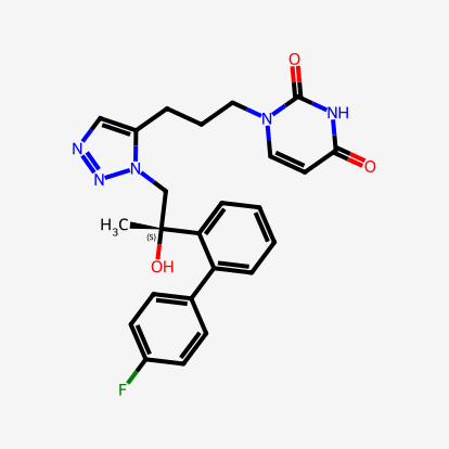 C[C@@](O)(Cn1nncc1CCCn1ccc(=O)[nH]c1=O)c1ccccc1-c1ccc(F)cc1